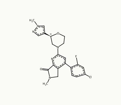 CN1Cc2c(-c3ccc(Cl)cc3F)cc(N3CCO[C@H](c4cnn(C)c4)C3)nc2C1=O